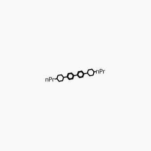 CCCC1CCC(c2ccc(-c3ccc(C4CCC(CCC)CC4)cc3)cc2)CC1